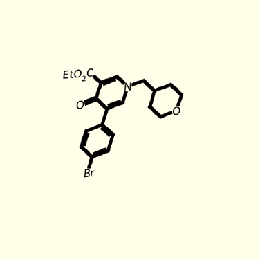 CCOC(=O)c1cn(CC2CCOCC2)cc(-c2ccc(Br)cc2)c1=O